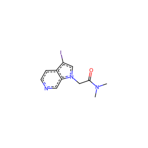 CN(C)C(=O)Cn1cc(I)c2ccncc21